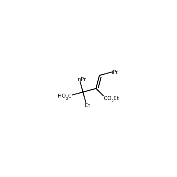 CCCC(CC)(C(=O)O)C(=CC(C)C)C(=O)OCC